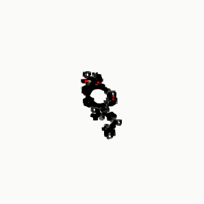 CCn1c(-c2cccnc2[C@H](C)OC)c2c3cc(ccc31)-c1cccc(c1)C[C@H](NC(=O)C(C(C)C)N(C)C(=O)[C@H]1CCN(C(=O)C#CC3(N(C)C)CCOCC3)C1)C(=O)N1CCC[C@H](N1)C(=O)OCC(C)(C)C2